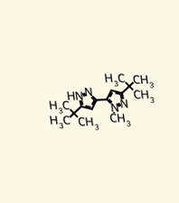 Cn1nc(C(C)(C)C)cc1-c1cc(C(C)(C)C)[nH]n1